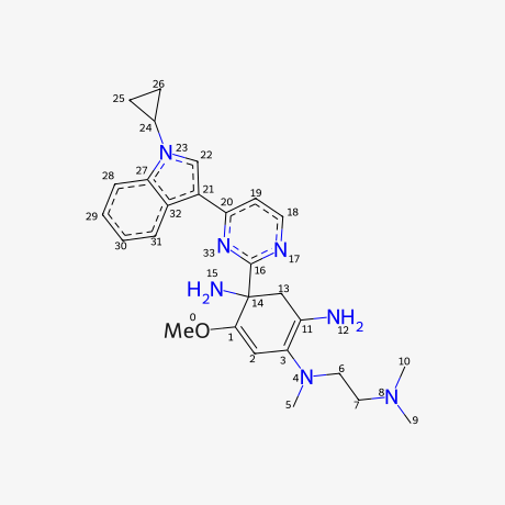 COC1=CC(N(C)CCN(C)C)=C(N)CC1(N)c1nccc(-c2cn(C3CC3)c3ccccc23)n1